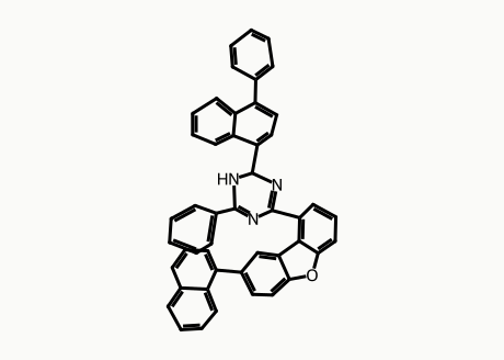 c1ccc(C2=NC(c3cccc4oc5ccc(-c6cccc7ccccc67)cc5c34)=NC(c3ccc(-c4ccccc4)c4ccccc34)N2)cc1